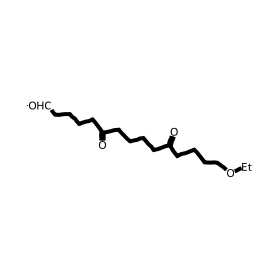 CCOCCCCC(=O)CCCCC(=O)CCCC[C]=O